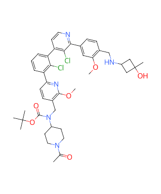 COc1cc(-c2nccc(-c3cccc(-c4ccc(CN(C(=O)OC(C)(C)C)C5CCN(C(C)=O)CC5)c(OC)n4)c3Cl)c2Cl)ccc1CNC1CC(C)(O)C1